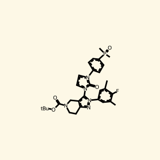 Cc1cc(-n2nc3c(c2-n2ccn(-c4ccc(P(C)(C)=O)cc4)c2=O)CN(C(=O)OC(C)(C)C)CC3)cc(C)c1F